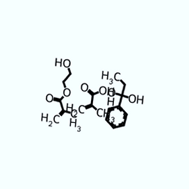 C=C(C)C(=O)O.C=C(C)C(=O)OCCO.CCC(O)(O)c1ccccc1